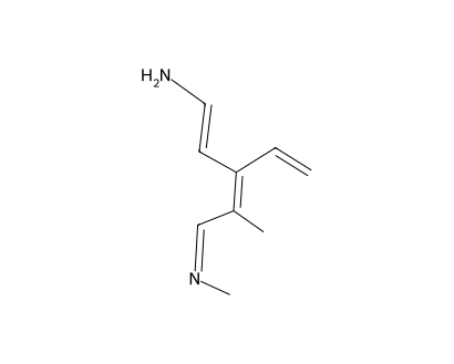 C=CC(/C=C/N)=C(C)/C=N\C